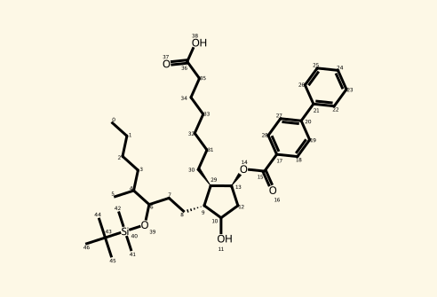 CCCCC(C)C(CC[C@H]1C(O)C[C@H](OC(=O)c2ccc(-c3ccccc3)cc2)[C@@H]1CCCCCCC(=O)O)O[Si](C)(C)C(C)(C)C